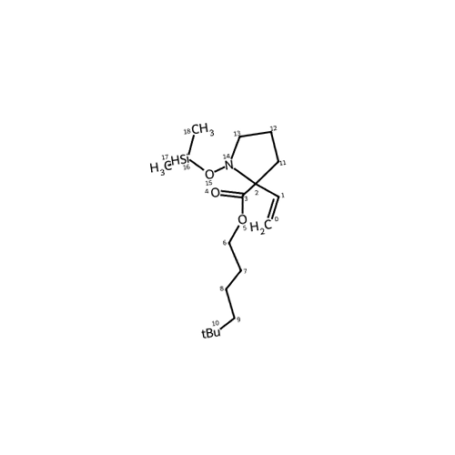 C=CC1(C(=O)OCCCCC(C)(C)C)CCCN1O[SiH](C)C